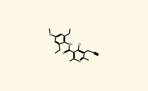 C#CCc1c(C)nc(C)c(C(=O)Nc2c(CC)cc(OC)cc2CC)c1Cl